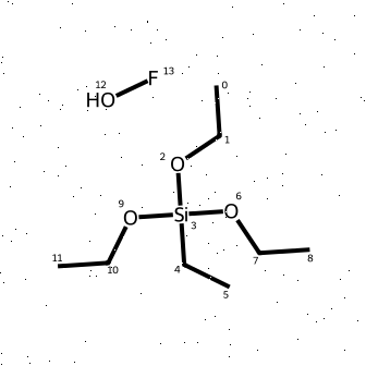 CCO[Si](CC)(OCC)OCC.OF